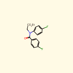 CCOC(=O)CN(C(=O)c1ccc(F)cc1)c1ccc(F)cc1